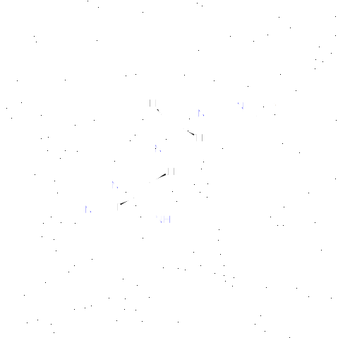 CCc1cccc(N2CC(N3C[C@@H]4CCN(c5cccc(SC)n5)[C@@H]4C3)[C@@H]3CNC[C@@H]32)n1